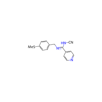 CSc1ccc(C/N=C(\NC#N)c2ccncc2)cc1